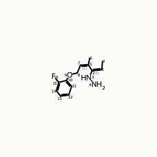 C/C=C(NN)\C(C)=C/COc1ccccc1F